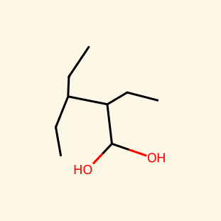 CCC(CC)C(CC)C(O)O